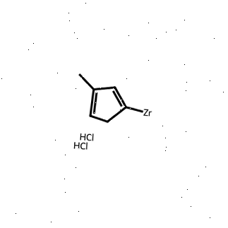 CC1=CC[C]([Zr])=C1.Cl.Cl